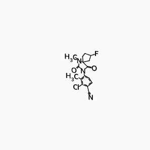 Cc1c(N2C(=O)N(C)C3(CCC(F)C3)C2=O)ccc(C#N)c1Cl